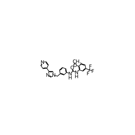 COc1ccc(C(F)(F)F)cc1NC(=O)Nc1cccc(Cn2cnc(-c3ccncc3)c2)c1